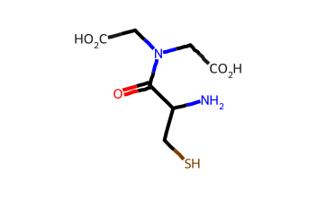 NC(CS)C(=O)N(CC(=O)O)CC(=O)O